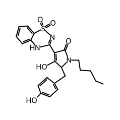 CCCCCN1C(=O)C(C2=NS(=O)(=O)c3ccccc3N2)=C(O)C1Cc1ccc(O)cc1